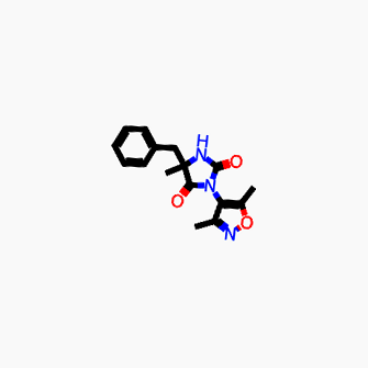 Cc1noc(C)c1N1C(=O)NC(C)(Cc2ccccc2)C1=O